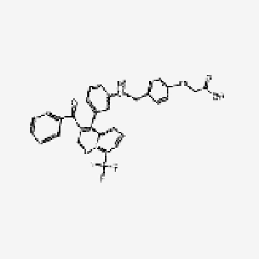 O=C(O)COc1ccc(CNc2cccc(-c3c(C(=O)c4ccccc4)cnc4c(C(F)(F)F)cccc34)c2)cc1